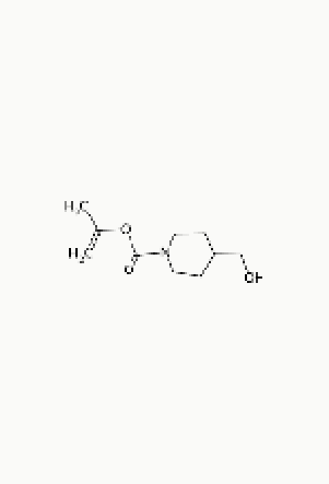 C=C(C)OC(=O)N1CCC(CO)CC1